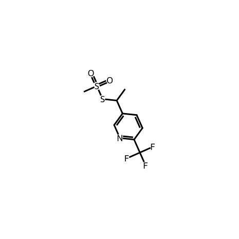 CC(SS(C)(=O)=O)c1ccc(C(F)(F)F)nc1